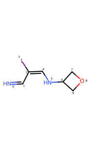 N=C/C(I)=C\NC1COC1